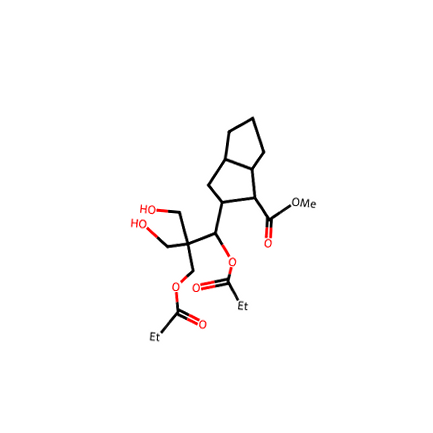 CCC(=O)OCC(CO)(CO)C(OC(=O)CC)C1CC2CCCC2C1C(=O)OC